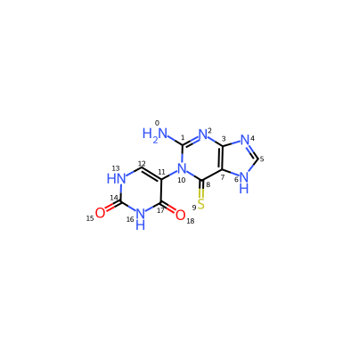 Nc1nc2nc[nH]c2c(=S)n1-c1c[nH]c(=O)[nH]c1=O